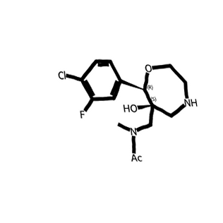 CC(=O)N(C)C[C@@]1(O)CNCCO[C@@H]1c1ccc(Cl)c(F)c1